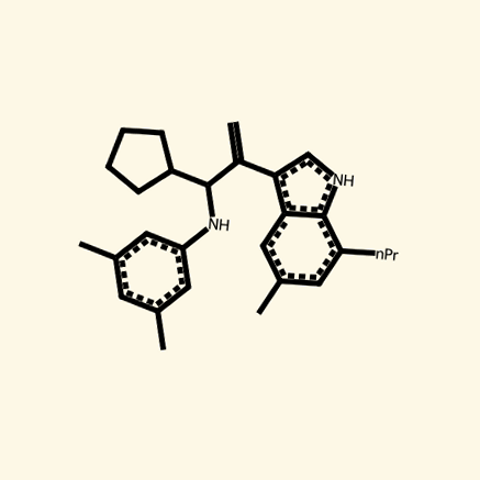 C=C(c1c[nH]c2c(CCC)cc(C)cc12)C(Nc1cc(C)cc(C)c1)C1CCCC1